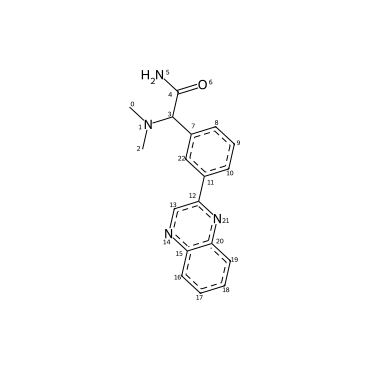 CN(C)C(C(N)=O)c1cccc(-c2cnc3ccccc3n2)c1